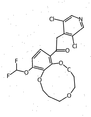 O=C(Cc1c(Cl)cncc1Cl)c1ccc(OC(F)F)c2c1OCCCOCCCO2